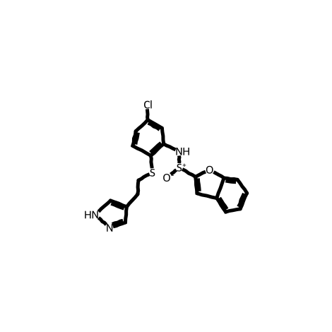 [O-][S+](Nc1cc(Cl)ccc1SCCc1cn[nH]c1)c1cc2ccccc2o1